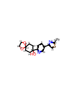 CC(C)c1nc(-c2ccc(C3(O)CCC4(CC3)OCCO4)nc2)cs1